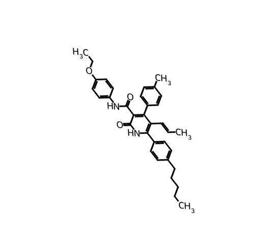 CC=Cc1c(-c2ccc(CCCCC)cc2)[nH]c(=O)c(C(=O)Nc2ccc(OCC)cc2)c1-c1ccc(C)cc1